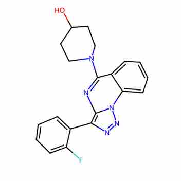 OC1CCN(c2nc3c(-c4ccccc4F)nnn3c3ccccc23)CC1